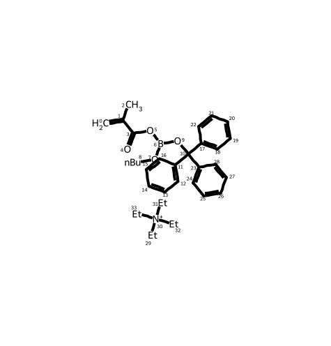 C=C(C)C(=O)OB(OCCCC)OC(c1ccccc1)(c1ccccc1)c1ccccc1.CC[N+](CC)(CC)CC